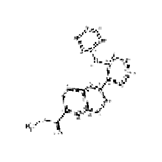 COC(=O)c1ccc2cc(-c3ccccc3Oc3ccccc3)ccc2c1